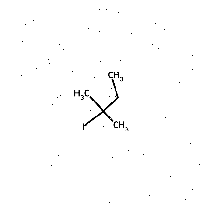 CCC(C)(C)I